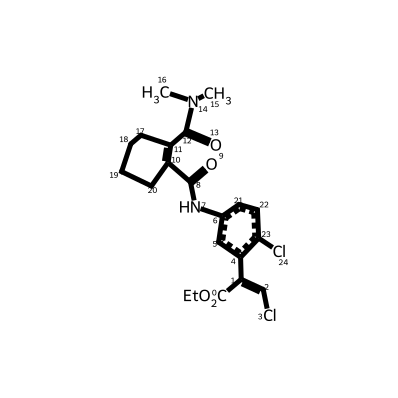 CCOC(=O)C(=CCl)c1cc(NC(=O)C2=C(C(=O)N(C)C)CCCC2)ccc1Cl